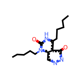 CCCCCc1[nH]c(=O)n(CCCCC)c2cnnc(=O)c1-2